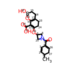 CC1C=CC(C(=O)N2CC(OC3=C(C(=O)O)C4=C(CCB(O)O4)CC3)C2)=CC1